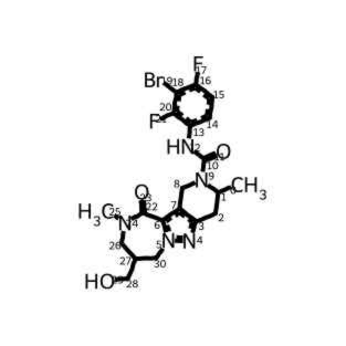 CC1Cc2nn3c(c2CN1C(=O)Nc1ccc(F)c(Br)c1F)C(=O)N(C)CC(CO)C3